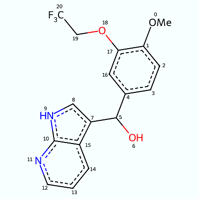 COc1ccc(C(O)c2c[nH]c3ncccc23)cc1OCC(F)(F)F